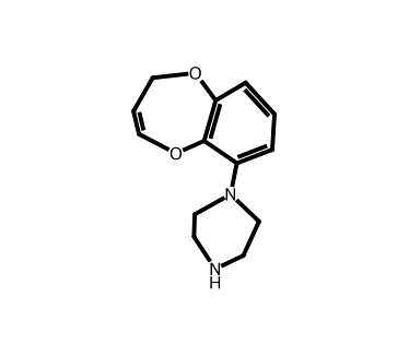 C1=COc2c(cccc2N2CCNCC2)OC1